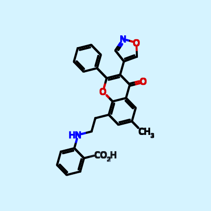 Cc1cc(CCNc2ccccc2C(=O)O)c2oc(-c3ccccc3)c(-c3cnoc3)c(=O)c2c1